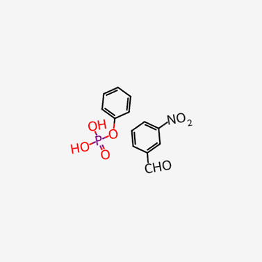 O=Cc1cccc([N+](=O)[O-])c1.O=P(O)(O)Oc1ccccc1